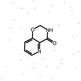 O=C1NCOc2cccnc21